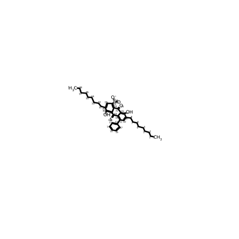 CCCCCCCCCc1cc(-c2ccccc2)c2c(c1O)C(=O)c1c([N+](=O)[O-])cc(CCCCCCCCC)c(O)c1C2=S